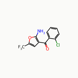 Nc1oc(C(F)(F)F)cc1C(=O)c1ccccc1Cl